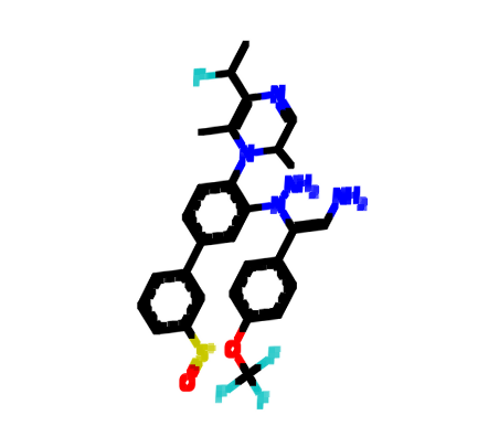 CC1=C(C(C)F)N=CC(C)N1c1ccc(-c2cccc([S+]=O)c2)cc1N(N)/C(=C\N)c1ccc(OC(F)(F)F)cc1